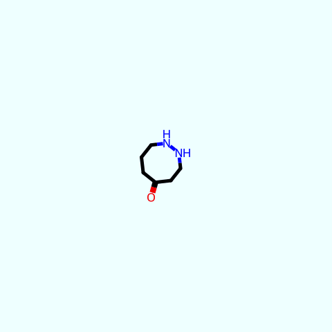 O=C1CCCNNCC1